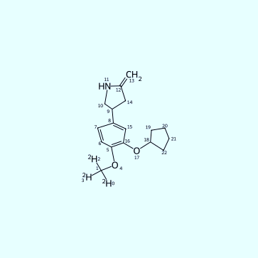 [2H]C([2H])([2H])Oc1ccc(C2CNC(=C)C2)cc1OC1CCCC1